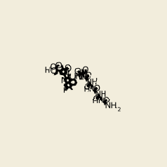 CC[C@]1(O)C(=O)OCc2c1cc1n(c2=O)Cc2c-1nc1cc(F)c(C)c3c1c2[C@H](CNC(=O)C1(NC(=O)CNC(=O)CNC(=O)CNC(=O)CNC(=O)CN)COC1)CC3